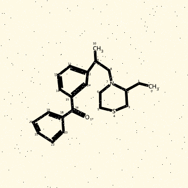 CCC1CSCCN1CC(C)c1cccc(C(=O)c2ccccc2)c1